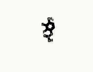 Cc1ccc(OS(=O)O)c(F)c1F